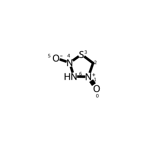 O=[N+]1CSN([O-])N1